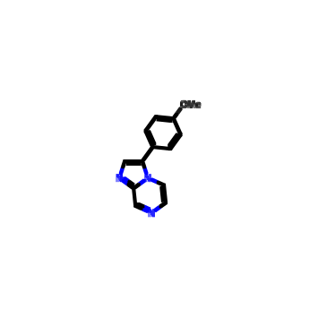 COc1ccc(-c2cnc3cnccn23)cc1